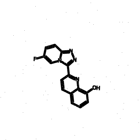 Oc1cccc2ccc(-c3nnc4ccc(F)cn34)nc12